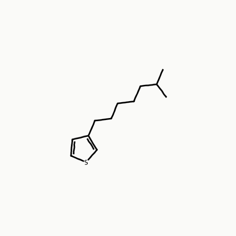 CC(C)CCCCCc1ccsc1